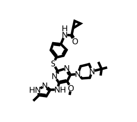 COc1c(Nc2cc(C)[nH]n2)nc(Sc2ccc(NC(=O)C3CC3)cc2)nc1N1CCN(C(C)(C)C)CC1